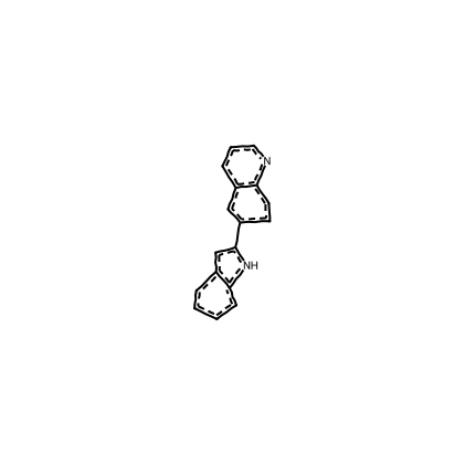 c1cnc2ccc(-c3cc4ccccc4[nH]3)cc2c1